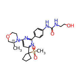 C[C@H]1COCCN1c1cc(C2(S(C)(=O)=O)CCCC2)nc(-c2ccc(NC(=O)NCCO)cc2)n1